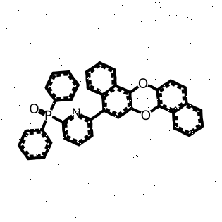 O=P(c1ccccc1)(c1ccccc1)c1cccc(-c2cc3c(c4ccccc24)Oc2ccc4ccccc4c2O3)n1